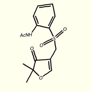 CC(=O)Nc1ccccc1S(=O)(=O)CC1=COC(C)(C)C1=O